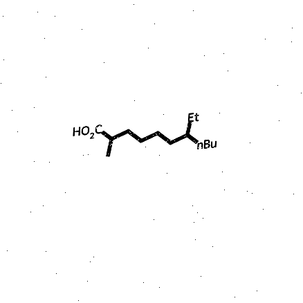 CCCCC(CC)CCCCC(C)C(=O)O